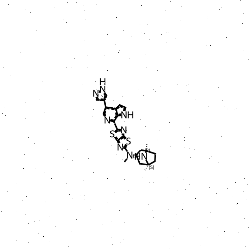 CN(c1nc2sc(-c3ncc(-c4cn[nH]c4)c4cc[nH]c34)nc2s1)[C@H]1C[C@]2(C)CC[C@](C)(C1)N2